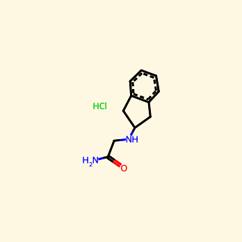 Cl.NC(=O)CNC1Cc2ccccc2C1